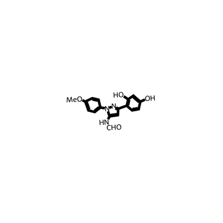 COc1ccc(-n2nc(-c3ccc(O)cc3O)cc2NC=O)cc1